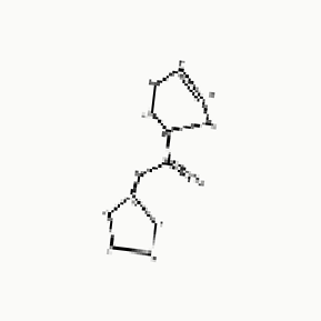 O=C(C[S+]1CCCC1)C1CC=CCC1